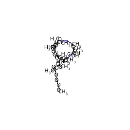 COCCOCCOCCOCCN(C)C(=O)O[C@@H]1CC[C@@H](C[C@@H](N)[C@@H]2C[C@@H](OC)[C@H](C)/C=C(\C)[C@@H](O)[C@@H](O)C(=O)[C@H](C)C[C@H](C)/C=C/C=C/C=C(\C)[C@@H](OC)C[C@@H]3CC[C@@H](C)[C@@](O)(O3)C(=O)C(=O)N3CCCC[C@H]3C(=O)O2)C[C@H]1OC